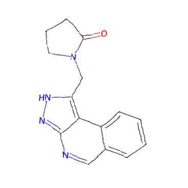 O=C1CCCN1Cc1[nH]nc2ncc3ccccc3c12